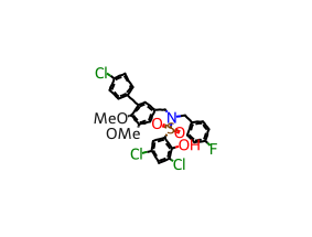 COc1cc(CN(Cc2ccc(F)cc2)S(=O)(=O)c2cc(Cl)cc(Cl)c2O)cc(-c2ccc(Cl)cc2)c1OC